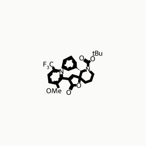 COc1ccc(C(F)(F)F)nc1C1=CC2(CCCN(C(=O)OC(C)(C)C)[C@H]2c2ccccc2)OC1=O